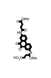 COC(=O)CCC(=O)Nc1ccc2c(c1)C(=O)C(=O)c1cc(N=C(CCC(=O)O)OC)ccc1-2